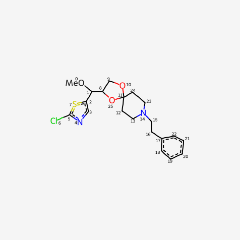 COC(c1cnc(Cl)s1)C1COC2(CCN(CCc3ccccc3)CC2)O1